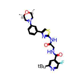 C[C@@H]1CN(c2cccc(-c3csc(NC(=O)CNC(=O)c4cc(C(C)(C)C)ncc4F)n3)c2)C[C@H](C)O1